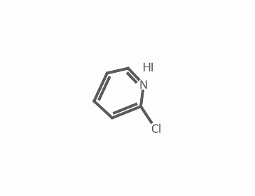 Clc1ccccn1.I